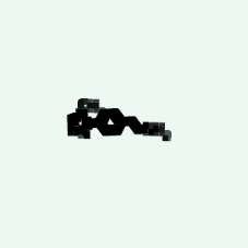 Cn1cnnc1-c1ccc(CCN)cc1